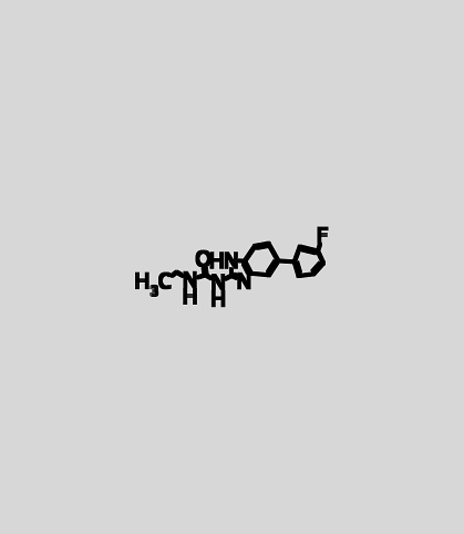 CCNC(=O)Nc1nc2cc(-c3cccc(F)c3)ccc2[nH]1